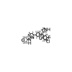 O=c1cc(-c2ccnc(NC3CCOCC3)n2)ccn1C(c1ccc(Cl)c(F)c1)[C@H]1CCNC1